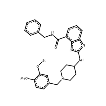 CCOc1cc(CN2CCC(Nc3nc4cccc(C(=O)NCc5ccccc5)c4o3)CC2)ccc1OC